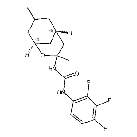 CC1C[C@H]2C[C@H](C1)OC(C)(NC(=O)Nc1ccc(F)c(F)c1F)C2